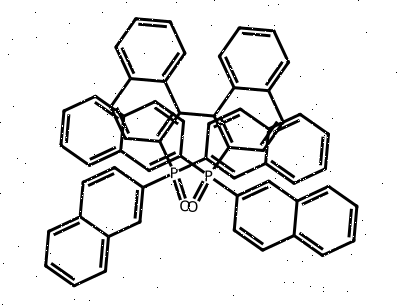 O=P(c1ccc2ccccc2c1)(c1ccc2ccccc2c1)c1ccc2ccccc2c1-c1c(P(=O)(c2ccc3ccccc3c2)c2ccc3ccccc3c2)ccc2ccccc12